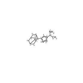 CC(N)n1cc(C2C3CC4CC(C3)CC2C4)nn1